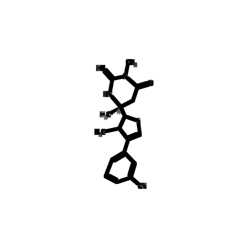 CC1C(c2cccc(C#N)c2)=CSC1[C@]1(C)CC(=O)N(C)C(=N)N1